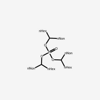 CCCCCCCCCC(CCCCCC)OP(=O)(OC(CCCCCC)CCCCCCCCC)OC(CCCCCC)CCCCCCCCC